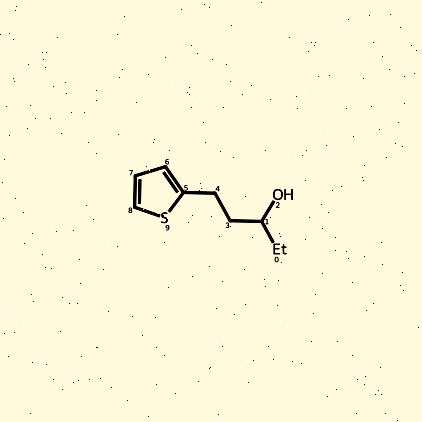 CCC(O)CCc1cccs1